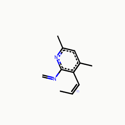 C=Nc1nc(C)cc(C)c1/C=C\C